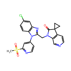 CS(=O)(=O)c1cc(-n2c(CN3C(=O)C4(CC4)c4ccncc43)nc3cc(Cl)ccc32)ccn1